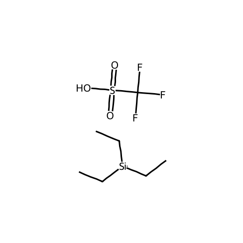 CC[Si](CC)CC.O=S(=O)(O)C(F)(F)F